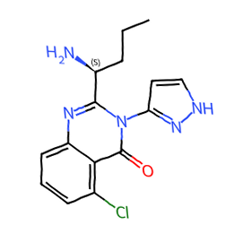 CCC[C@H](N)c1nc2cccc(Cl)c2c(=O)n1-c1cc[nH]n1